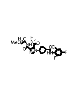 COCC(C)NC(=O)c1ncn([C@H]2CC[C@H](C(=O)Nc3c(F)cc(F)cc3Cl)CC2)c1C(N)=O